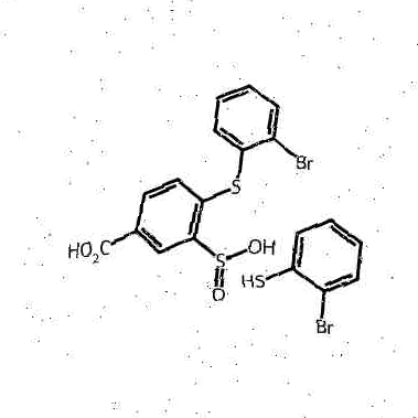 O=C(O)c1ccc(Sc2ccccc2Br)c(S(=O)O)c1.Sc1ccccc1Br